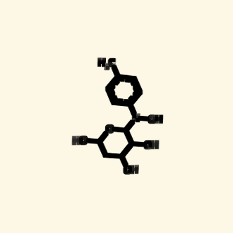 Cc1ccc(N(O)C2OC(O)CC(O)C2O)cc1